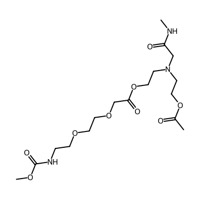 CNC(=O)CN(CCOC(C)=O)CCOC(=O)COCCOCCNC(=O)OC